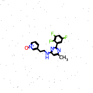 Cc1cc(NCCc2ccc[n+]([O-])c2)nc(-c2cc(F)cc(F)c2F)n1